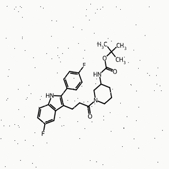 CC(C)(C)OC(=O)NC1CCCN(C(=O)CCc2c(-c3ccc(F)cc3)[nH]c3ccc(F)cc23)C1